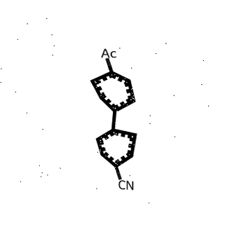 CC(=O)c1ccc(-c2ccc(C#N)cc2)cc1